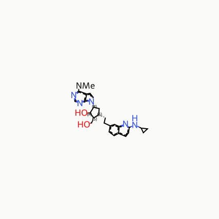 CNc1ncnc2c1ccn2[C@@H]1C[C@H](CCc2ccc3ccc(NC4CC4)nc3c2)[C@@H](CO)[C@H]1O